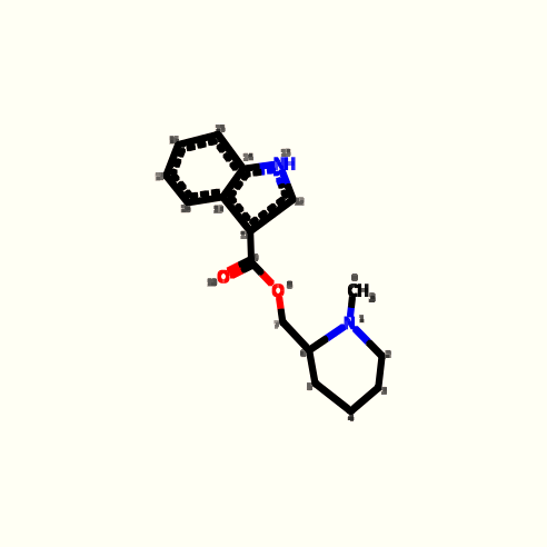 CN1CCCCC1COC(=O)c1c[nH]c2ccccc12